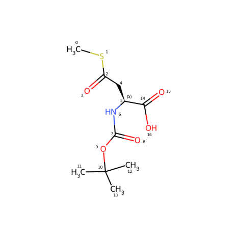 CSC(=O)C[C@H](NC(=O)OC(C)(C)C)C(=O)O